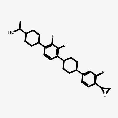 CC(O)C1CCC(c2ccc(C3CCC(c4ccc(C5CO5)c(F)c4)CC3)c(F)c2F)CC1